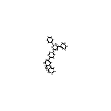 c1ccc(-c2nc(-c3ccccc3)nc(-c3ccc(-c4ccc5nc6ncccc6n5c4)cc3)n2)cc1